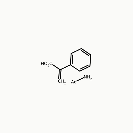 C=C(C(=O)O)c1ccccc1.CC(N)=O